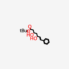 CC(C)(C)OC(=O)CC(O)CC(O)C=Cc1ccccc1